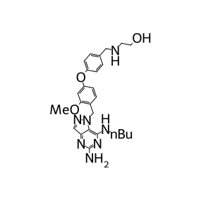 CCCCNc1nc(N)nc2cnn(Cc3ccc(Oc4ccc(CNCCO)cc4)cc3OC)c12